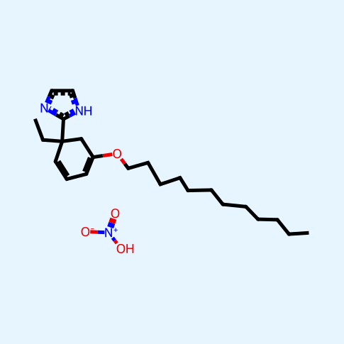 CCCCCCCCCCCCOC1=CC=CC(CC)(c2ncc[nH]2)C1.O=[N+]([O-])O